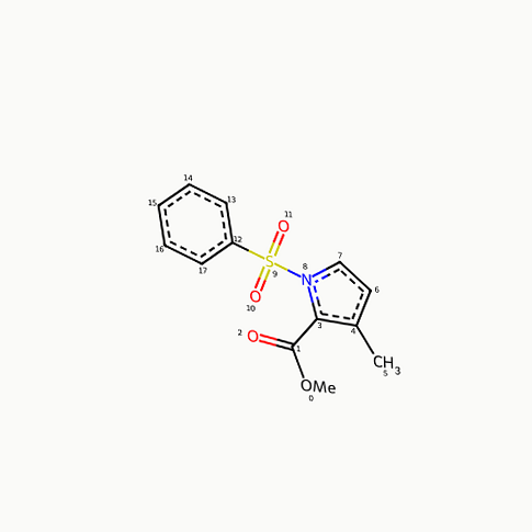 COC(=O)c1c(C)ccn1S(=O)(=O)c1ccccc1